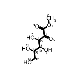 COC(=O)C(=O)[C@H](O)[C@@H](O)[C@H](O)CO